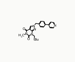 Cn1c(=O)c2cn(Cc3ccc(-c4ccncc4)cc3)nc2n(CC(C)(C)C)c1=O